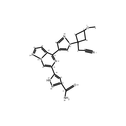 COC1CC(CC#N)(n2cc(-c3nc(-c4cc(C(N)=O)n[nH]4)cn4nccc34)cn2)C1